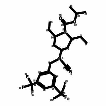 CCC1CC(N(C#N)Cc2cc(C(F)(F)F)cc(C(F)(F)F)c2)CC(CC)N1C(=O)OC(C)C